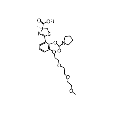 COCCOCCOCCOc1cccc(C2=N[C@@](C)(C(=O)O)CS2)c1OC(=O)N1CCCC1